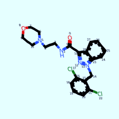 O=C(NCCN1CCOCC1)c1nn(Cc2c(Cl)cccc2Cl)c2ccccc12